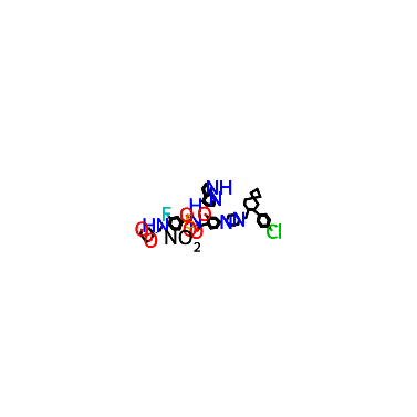 O=C(NS(=O)(=O)c1cc(F)c(NC[C@H]2COCCO2)c([N+](=O)[O-])c1)c1ccc(N2CCN(CC3=C(c4ccc(Cl)cc4)CC4(CCC4)CC3)CC2)cc1Oc1cnc2[nH]ccc2c1